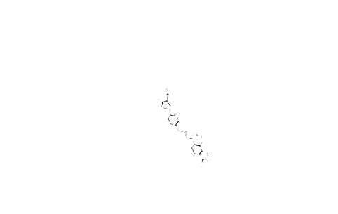 Cc1nn(-c2ccc(CNCC(O)c3ccc4c(c3C)COC4=O)cn2)cc1C#N